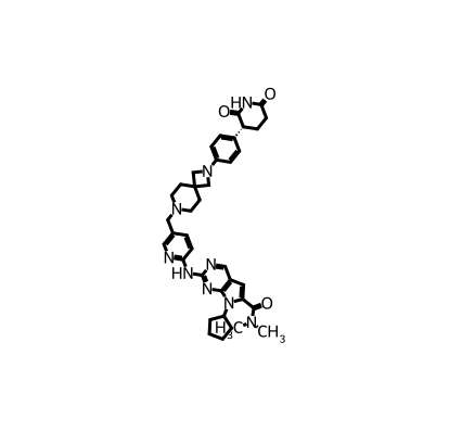 CN(C)C(=O)c1cc2cnc(Nc3ccc(CN4CCC5(CC4)CN(c4ccc([C@H]6CCC(=O)NC6=O)cc4)C5)cn3)nc2n1C1CCCC1